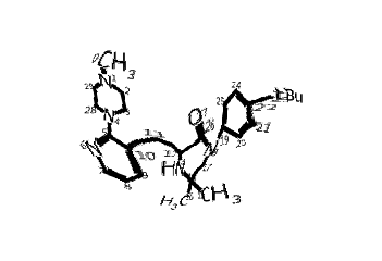 CN1CCN(c2ncccc2CC2NC(C)(C)CN(c3ccc(C(C)(C)C)cc3)C2=O)CC1